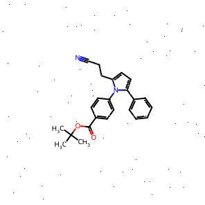 CC(C)(C)OC(=O)c1ccc(-n2c(CCC#N)ccc2-c2ccccc2)cc1